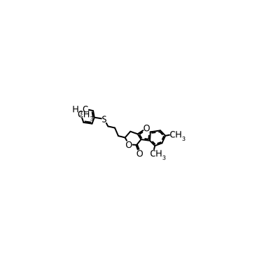 C/C=C\C(=C/C)SCCCC1Cc2oc3cc(C)cc(C)c3c2C(=O)O1